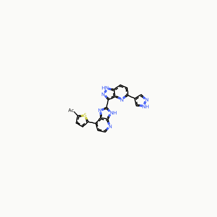 CC(=O)c1ccc(-c2ccnc3[nH]c(-c4n[nH]c5ccc(-c6cn[nH]c6)nc45)nc23)s1